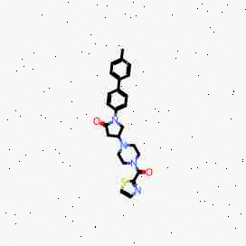 Cc1ccc(-c2ccc(N3CC(N4CCN(C(=O)c5nccs5)CC4)CC3=O)cc2)cc1